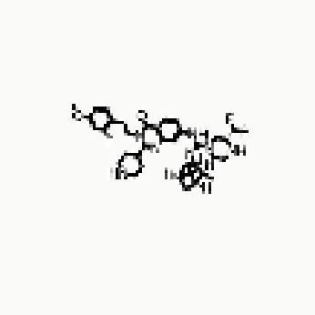 COc1ccc(CCn2c(C3CCNCC3)nc3cc(NC(=N[C@H]4C[C@H]5C[C@@H]([C@@H]4C)C5(C)C)N4CCN[C@@H](C(F)F)C4)ccc3c2=O)c(F)c1